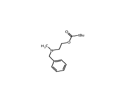 CN(CCOC(=O)C(C)(C)C)Cc1ccccc1